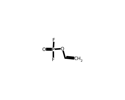 C=COP(=O)(F)F